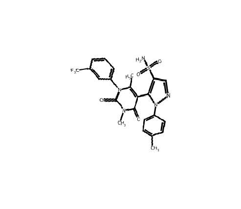 Cc1ccc(-n2ncc(S(N)(=O)=O)c2-c2c(C)n(-c3cccc(C(F)(F)F)c3)c(=O)n(C)c2=O)cc1